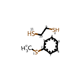 CSc1ccccc1.SCCS